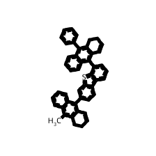 Cc1c2c(c(-c3ccc4c(c3)sc3c(-c5c6c(c(-c7ccccc7)c7ccccc57)CCC=C6)cccc34)c3ccccc13)C=CCC2